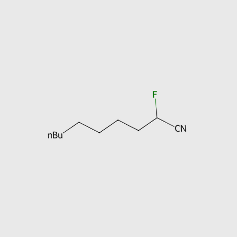 CCCCCCCCC(F)C#N